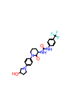 O=C(Nc1ccc(C(F)(F)F)cc1)NC1CCCN(c2ccc(N3CCC(O)C3)cc2)C1=O